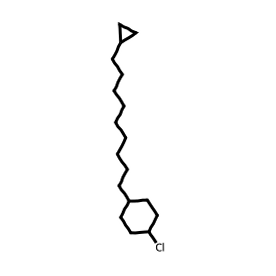 ClC1CCC(CCCCCCCCCC2CC2)CC1